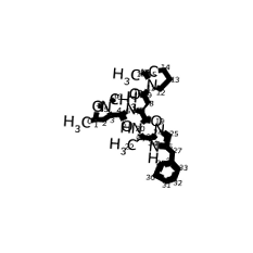 CC1CC(C(=O)N[C@@H](CC(=O)N2CCCC[C@@H]2C)C(=O)N[C@@H](C)c2ncc(Cc3ccccc3)[nH]2)N(C)O1